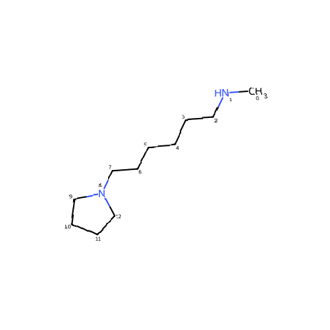 CNCCCCCCN1CCCC1